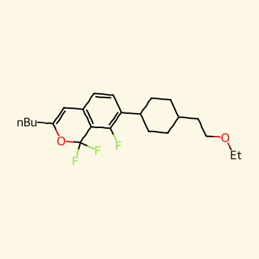 CCCCC1=Cc2ccc(C3CCC(CCOCC)CC3)c(F)c2C(F)(F)O1